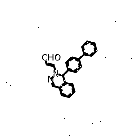 O=CC=CN1N=Cc2ccccc2C1c1ccc(-c2ccccc2)cc1